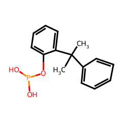 CC(C)(c1ccccc1)c1ccccc1OP(O)O